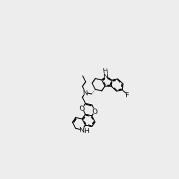 CCCN(CC1=COc2ccc3c(c2O1)C=CCN3)C[C@@H]1CCc2[nH]c3ccc(F)cc3c2C1